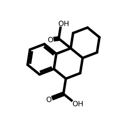 O=C(O)C1CC2CCCCC2(C(=O)O)c2ccccc21